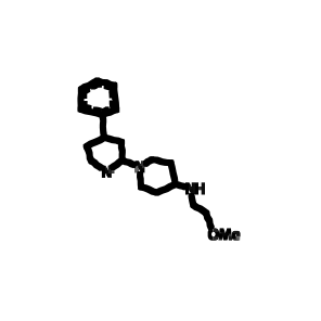 COCCNC1CCN(C2CC(c3ccccc3)CC[N]2)CC1